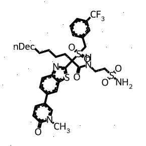 CCCCCCCCCCCCCCC(C(=O)NCCS(N)(=O)=O)(c1nc2ccc(-c3ccc(=O)n(C)c3)cc2s1)S(=O)(=O)Cc1cccc(C(F)(F)F)c1